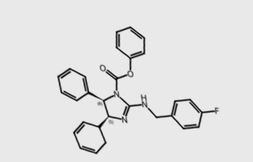 O=C(Oc1ccccc1)N1C(NCc2ccc(F)cc2)=N[C@@H](C2C=CC=CC2)[C@H]1c1ccccc1